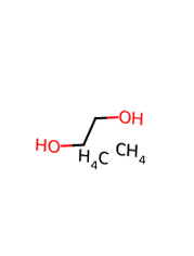 C.C.OCCO